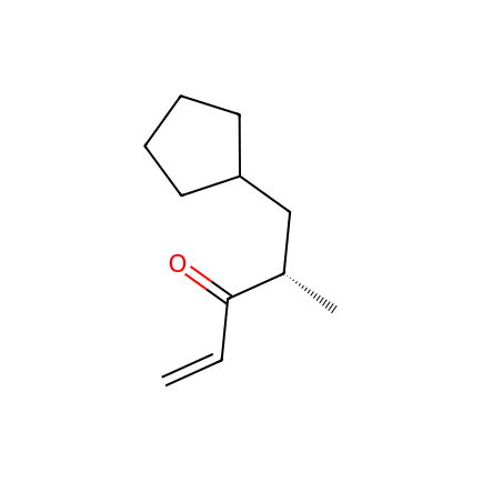 C=CC(=O)[C@@H](C)CC1CCCC1